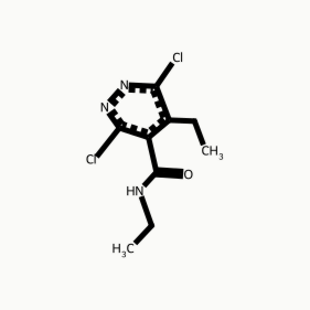 CCNC(=O)c1c(Cl)nnc(Cl)c1CC